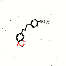 O=S(=O)(O)c1ccc(CCCc2ccc3c(c2)OCO3)cc1